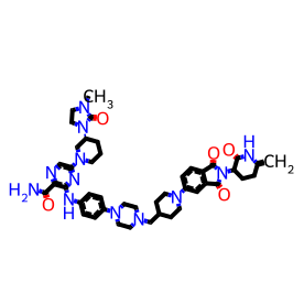 C=C1CCC(N2C(=O)c3ccc(N4CCC(CN5CCN(c6ccc(Nc7nc(N8CCC[C@@H](N9CCN(C)C9=O)C8)cnc7C(N)=O)cc6)CC5)CC4)cc3C2=O)C(=O)N1